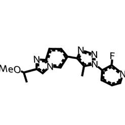 COC(C)c1cn2cc(-c3nnn(-c4cccnc4F)c3C)ccc2n1